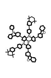 CC1(C)CCC(C)(C)c2cc(-c3ccc(N4c5cc(-c6ccc7oc8ccccc8c7c6)ccc5B5c6ccc(-c7ccc8oc9ccccc9c8c7)cc6N(c6ccc(-c7ccc8c(c7)C(C)(C)CCC8(C)C)cc6)c6cc(-c7ccc8c(c7)c7ccccc7n8-c7ccccc7)cc4c65)cc3)ccc21